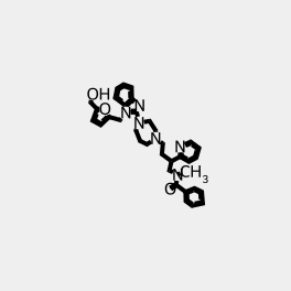 CN(CC(CCN1CCCN(c2nc3ccccc3n2Cc2ccc(CO)o2)CC1)c1ccccn1)C(=O)c1ccccc1